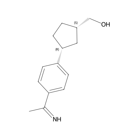 CC(=N)c1ccc([C@@H]2CC[C@H](CO)C2)cc1